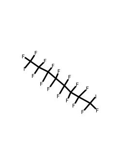 FC(F)(I)C(F)(F)C(F)(F)C(F)(F)C(F)(F)C(F)(F)C(F)(F)C(F)(F)I